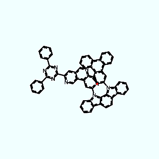 c1ccc(-c2nc(-c3ccccc3)nc(-c3cc4cnc5cnc(-n6c7ccccc7c7ccc8c9ccccc9n(-c9ccc%10c%11ccccc%11c%11ccccc%11c%10c9)c8c76)cc5c4cn3)n2)cc1